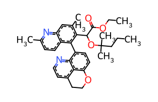 CCCC(C)(C)OC(C(=O)OCC)c1c(C)cc2nc(C)ccc2c1-c1ccc2c3c(ccnc13)CCO2